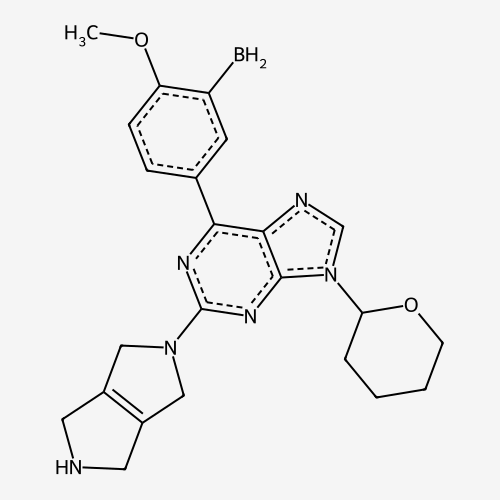 Bc1cc(-c2nc(N3CC4=C(CNC4)C3)nc3c2ncn3C2CCCCO2)ccc1OC